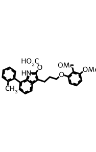 COc1cccc(OCCCc2c(OC(=O)O)[nH]c3c(-c4ccccc4C)cccc23)c1OC